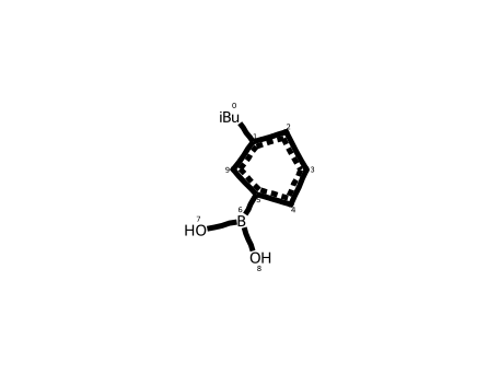 CCC(C)c1cccc(B(O)O)c1